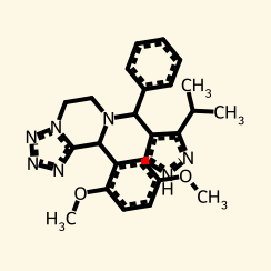 COc1ccc(OC)c(C2c3nnnn3CCN2C(c2ccccc2)c2c[nH]nc2C(C)C)c1